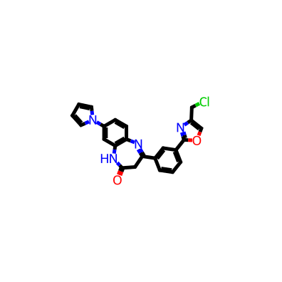 O=C1CC(c2cccc(-c3nc(CCl)co3)c2)=Nc2ccc(-n3cccc3)cc2N1